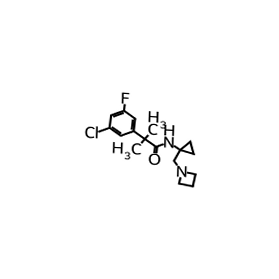 CC(C)(C(=O)NC1(CN2CCC2)CC1)c1cc(F)cc(Cl)c1